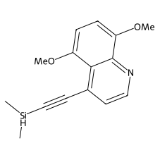 COc1ccc(OC)c2c(C#C[SiH](C)C)ccnc12